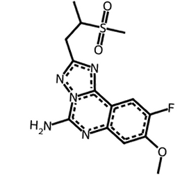 COc1cc2nc(N)n3nc(CC(C)S(C)(=O)=O)nc3c2cc1F